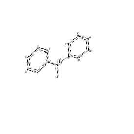 C[PH2](c1ccccc1)c1ccccc1